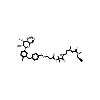 C#CCN(C)C(=O)CN(C)CCNC(=O)C(C)(C)NC(=O)CCOCc1ccc(Cc2cc([C@@H]3OC(/C=[SH]\C)[C@@H](O)[C@H](O)[C@H]3O)ccc2C)cc1